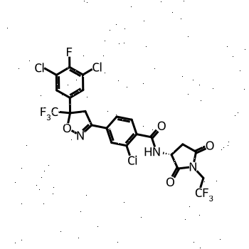 O=C(N[C@@H]1CC(=O)N(CC(F)(F)F)C1=O)c1ccc(C2=NOC(c3cc(Cl)c(F)c(Cl)c3)(C(F)(F)F)C2)cc1Cl